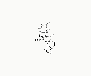 CC(c1ccc2nccn2c1)n1nnc2ncc(Br)nc21.Cl